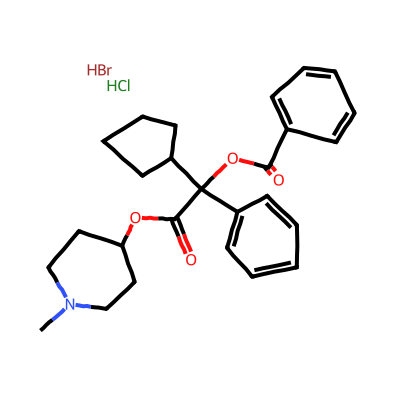 Br.CN1CCC(OC(=O)C(OC(=O)c2ccccc2)(c2ccccc2)C2CCCC2)CC1.Cl